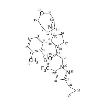 Cc1cccc([C@@H]2[C@H](N3C4CCC3COC4)CCN2C(=O)Cn2nc(C3CC3)cc2C(F)(F)F)c1Cl